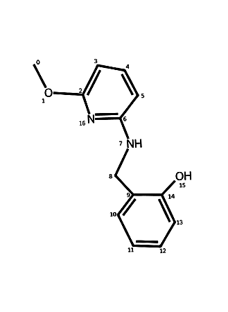 COc1cccc(NCc2ccccc2O)n1